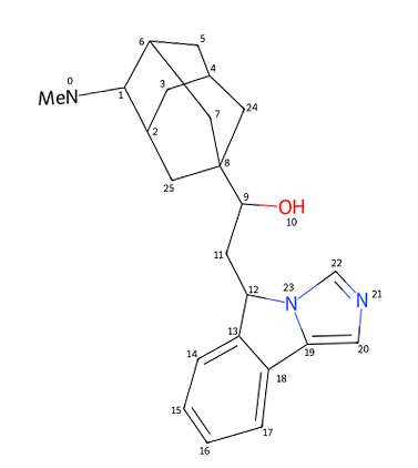 CNC1C2CC3CC1CC(C(O)CC1c4ccccc4-c4cncn41)(C3)C2